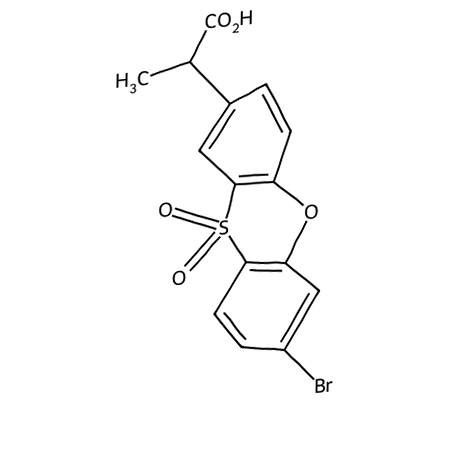 CC(C(=O)O)c1ccc2c(c1)S(=O)(=O)c1ccc(Br)cc1O2